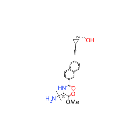 COC(=O)[C@@H](NC(=O)c1ccc2cc(C#CC3C[C@@H]3CO)ccc2c1)C(C)(C)N